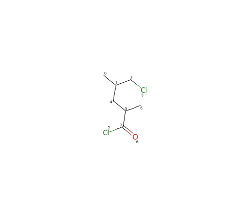 CC(CCl)CC(C)C(=O)Cl